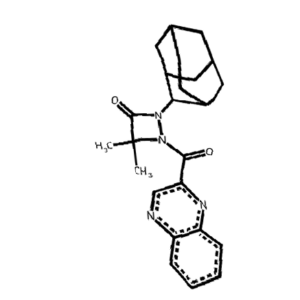 CC1(C)C(=O)N(C2C3CC4CC(C3)CC2C4)N1C(=O)c1cnc2ccccc2n1